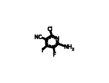 N#Cc1c(Cl)nc(N)c(F)c1I